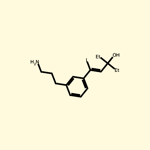 CCC(O)(C=C(I)c1cccc(CCCN)c1)CC